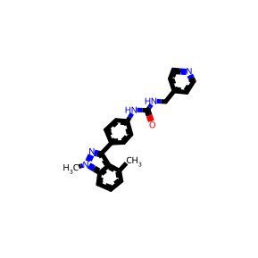 Cc1cccc2c1c(-c1ccc(NC(=O)NCc3ccncc3)cc1)nn2C